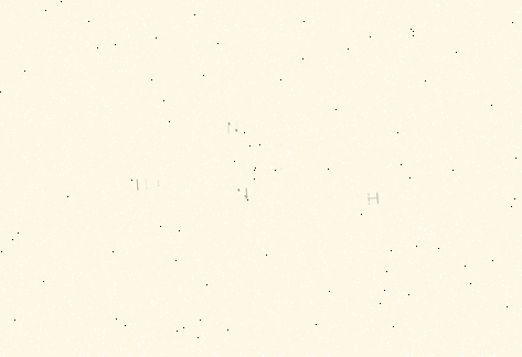 Cc1ccc(S(=O)(=O)c2cnc3ccc(C)cc3c2N2CCCCC2)cc1